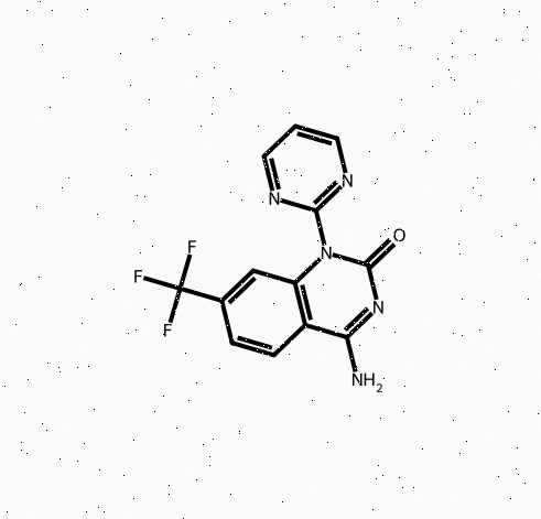 Nc1nc(=O)n(-c2ncccn2)c2cc(C(F)(F)F)ccc12